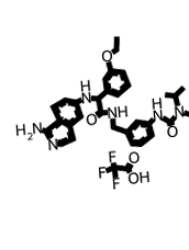 CCOc1cccc(C(Nc2ccc3c(N)nccc3c2)C(=O)NCc2cccc(NC(=O)N(C)C(C)C)c2)c1.O=C(O)C(F)(F)F